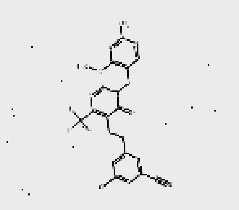 COc1nc(C)ncc1Cn1cnc(C(F)(F)F)c(CCc2cc(Cl)cc(C#N)c2)c1=O